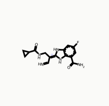 N=C/C(CNC(=O)C1CC1)=C1/Nc2cc(F)cc(C(N)=O)c2N1